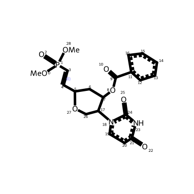 COP(=O)(/C=C/C1CC(OC(=O)c2ccccc2)C(n2ccc(=O)[nH]c2=O)CO1)OC